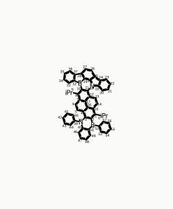 CC(C)c1c2c(c3ccc4c(C(C)C)c5c(c6ccc1c3c46)-n1c3ccccc3c3ccc4c(c31)B5c1ccccc1-4)N(c1ccccc1)c1ccccc1B2c1ccccc1